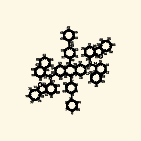 c1ccc(-c2ccc(-c3c4ccc(N(c5cccc6ccccc56)c5cccc6c5oc5ccccc56)cc4c(-c4ccc(-c5ccccc5)cc4)c4ccc(N(c5cccc6ccccc56)c5cccc6c5oc5ccccc56)cc34)cc2)cc1